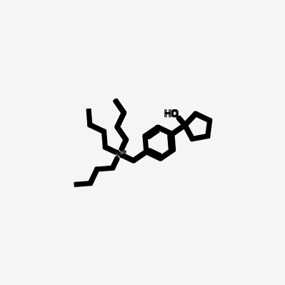 CCCC[N+](CCCC)(CCCC)Cc1ccc(C2(O)CCCC2)cc1